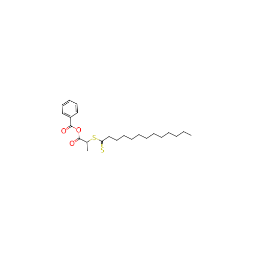 CCCCCCCCCCCCC(=S)SC(C)C(=O)OC(=O)c1ccccc1